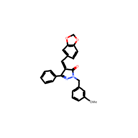 COc1cccc(CN2N=C(c3ccccc3)/C(=C/c3ccc4c(c3)OCO4)C2=O)c1